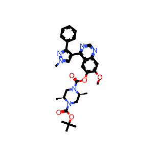 COc1cc2ncnc(-c3cn(C)nc3-c3ccccc3)c2cc1OC(=O)N1C[C@H](C)N(C(=O)OC(C)(C)C)C[C@@H]1C